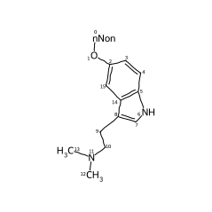 CCCCCCCCCOc1ccc2[nH]cc(CCN(C)C)c2c1